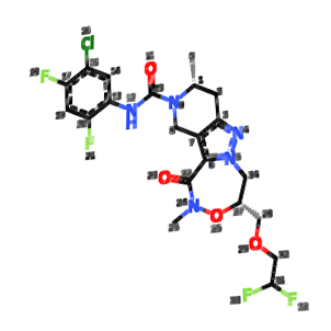 C[C@@H]1Cc2nn3c(c2CN1C(=O)Nc1cc(Cl)c(F)cc1F)C(=O)N(C)O[C@@H](COCC(F)F)C3